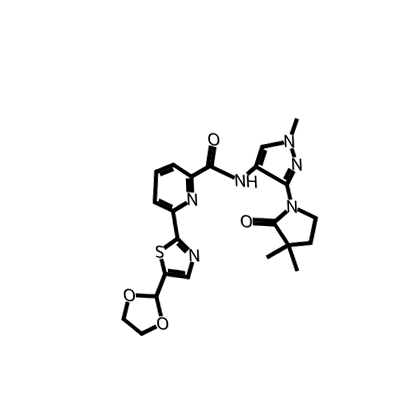 Cn1cc(NC(=O)c2cccc(-c3ncc(C4OCCO4)s3)n2)c(N2CCC(C)(C)C2=O)n1